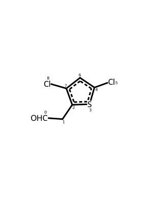 O=CCc1sc(Cl)cc1Cl